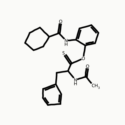 CC(=O)NC(Cc1ccccc1)C(=S)Oc1ccccc1NC(=O)C1CCCCC1